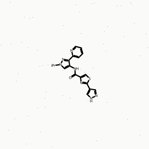 CC(C)n1cc(NC(=O)c2csc(-c3cn[nH]c3)n2)c(-c2ccccn2)n1